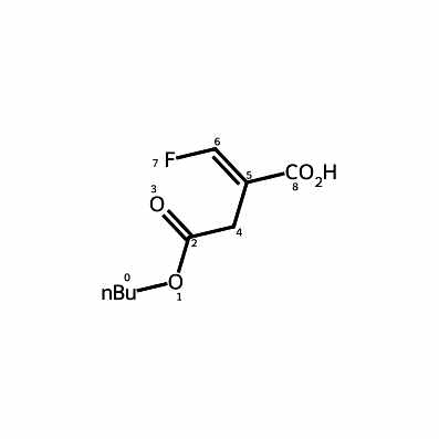 CCCCOC(=O)C/C(=C\F)C(=O)O